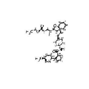 CCOC(=O)CCNC(=O)CC1(CCN2CCC(NC(=O)c3occc3-c3ccc(C)cn3)CC2)CCCCC1